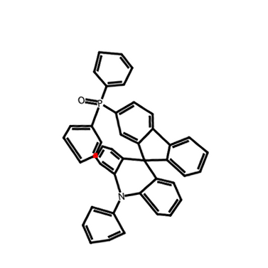 O=P(c1ccccc1)(c1ccccc1)c1ccc2c(c1)C1(c3ccccc3-2)c2ccccc2N(c2ccccc2)c2ccccc21